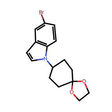 Brc1ccc2c(ccn2C2CCC3(CC2)OCCO3)c1